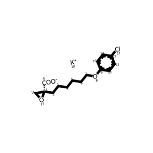 O=C([O-])[C@@]1(CCCCCCOc2ccc(Cl)cc2)CO1.[K+]